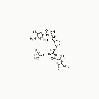 N=C(NCC1CCCC(CNC(=N)NC(=O)c2nc(Cl)c(N)nc2N)C1)NC(=O)c1nc(Cl)c(N)nc1N.O=C(O)C(F)(F)F